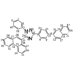 c1ccc(-n2nc(-c3ccc(-c4ccc5ccccc5c4)cc3)nc2-c2cc3ccccc3c3ccccc23)cc1